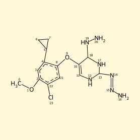 COc1cc(C2CC2)c(OC2=CNC(N=NN)NC2NN)cc1Cl